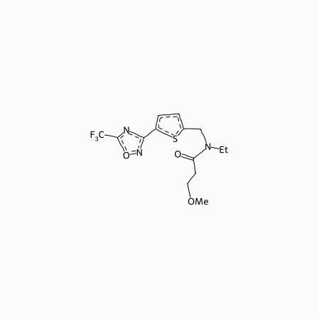 CCN(Cc1ccc(-c2noc(C(F)(F)F)n2)s1)C(=O)CCOC